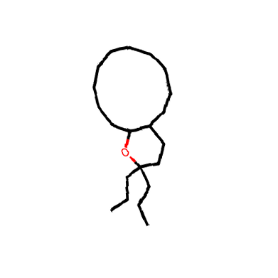 CCCC1(CCC)CCC2CCCCCCCCCCC2O1